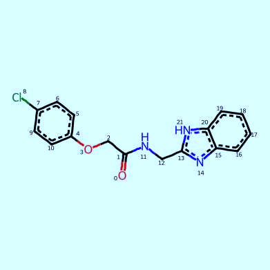 O=C(COc1ccc(Cl)cc1)NCc1nc2ccccc2[nH]1